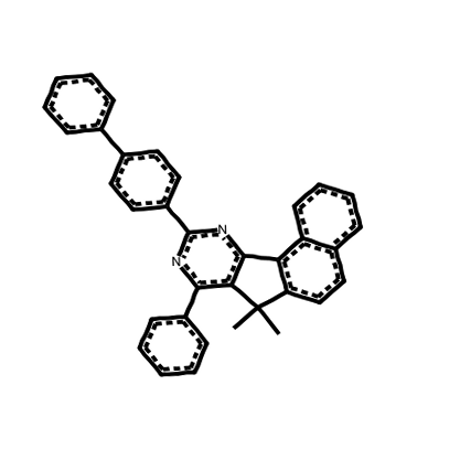 CC1(C)c2ccc3ccccc3c2-c2nc(-c3ccc(-c4ccccc4)cc3)nc(-c3ccccc3)c21